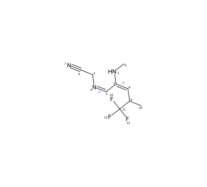 CNC(/C=N\CC#N)=C/C(C)C(F)(F)F